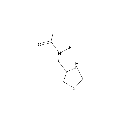 CC(=O)N(F)CC1CSCN1